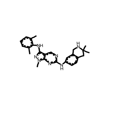 Cc1cccc(C)c1Nc1nn(C)c2nc(Nc3ccc4c(c3)CNC(C)(C)C4)ncc12